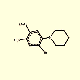 COc1cc(N2CC[CH]CC2)c(Br)cc1[N+](=O)[O-]